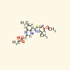 COc1cc(C)c2nc(-c3cc(C)cc4nc(COS(C)(=O)=O)cnc34)sc2c1